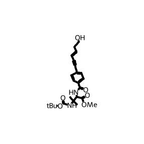 COC(=O)C(NC(=O)c1ccc(C#C/C=C/CCO)cc1)C(C)(C)NC(=O)OC(C)(C)C